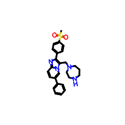 CS(=O)(=O)c1ccc(-c2nc3ccc(-c4ccccc4)cn3c2CN2CCCNCC2)cc1